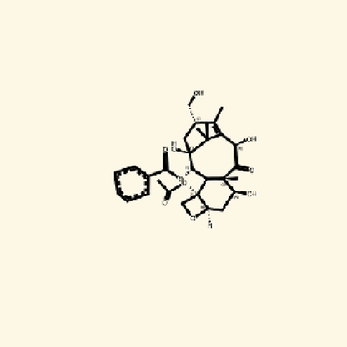 CC(=O)O[C@@]12CO[C@@H]1C[C@H](O)[C@@]1(C)C(=O)[C@H](O)C3=C(C)[C@@H](CO)C[C@@](O)([C@@H](OC(=O)c4ccccc4)C12)C3(C)C